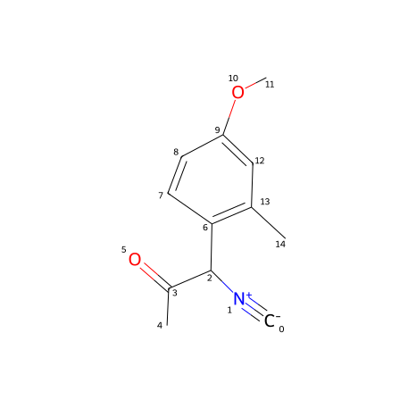 [C-]#[N+]C(C(C)=O)c1ccc(OC)cc1C